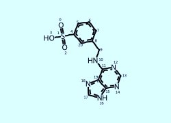 O=S(=O)(O)c1cccc(CNc2ncnc3[nH]cnc23)c1